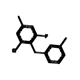 Cc1cccc(Cc2c(F)cc(C)cc2Cl)c1